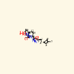 C[C@H]1C[C@H](CCc2nnc([C@@H]3CC[C@@H]4CN3C(=O)N4O)o2)C1